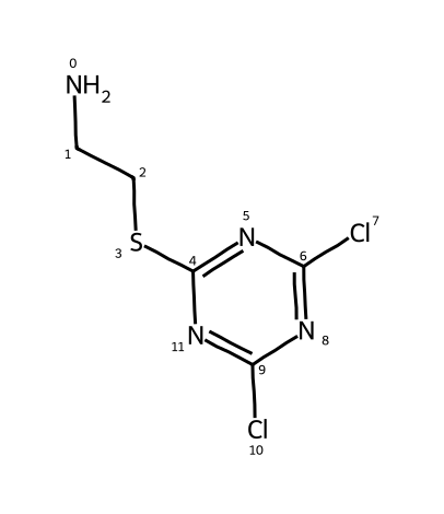 NCCSc1nc(Cl)nc(Cl)n1